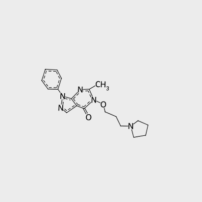 Cc1nc2c(cnn2-c2ccccc2)c(=O)n1OCCCN1CCCC1